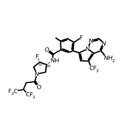 Cc1cc(F)c(-c2cc(C(F)(F)F)c3c(N)ncnn23)cc1C(=O)N[C@@H]1CN(C(=O)CC(C(F)(F)F)C(F)(F)F)C[C@@H]1F